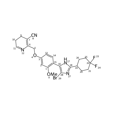 COc1cc(OCC2=C(C#N)CCC=N2)ccc1-c1[nH]c(C2CCC(F)(F)CC2)nc1Br